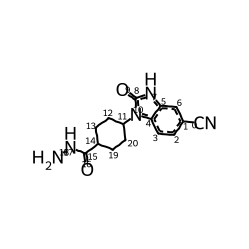 N#Cc1ccc2c(c1)[nH]c(=O)n2C1CCC(C(=O)NN)CC1